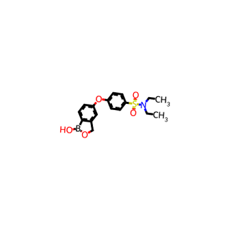 CCN(CC)S(=O)(=O)c1ccc(Oc2ccc3c(c2)COB3O)cc1